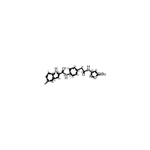 Cc1ccc2[nH]c(C(=O)Nc3ccc(CC(=O)Nc4cc(C(C)(C)C)on4)cc3)cc2c1